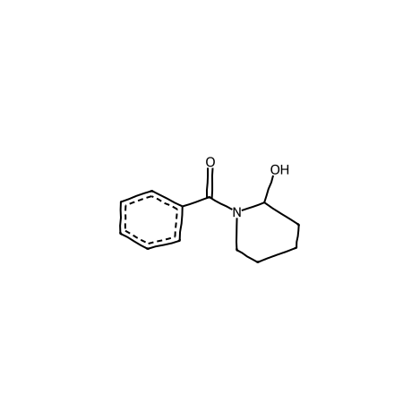 O=C(c1ccccc1)N1CCCCC1O